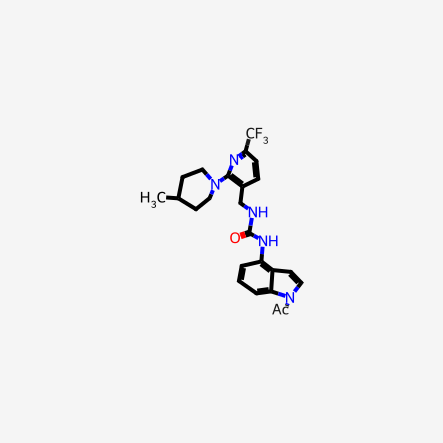 CC(=O)n1ccc2c(NC(=O)NCc3ccc(C(F)(F)F)nc3N3CCC(C)CC3)cccc21